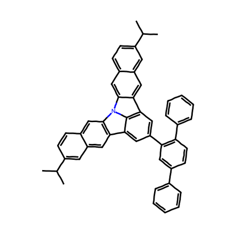 CC(C)c1ccc2cc3c(cc2c1)c1cc(-c2cc(-c4ccccc4)ccc2-c2ccccc2)cc2c4cc5cc(C(C)C)ccc5cc4n3c12